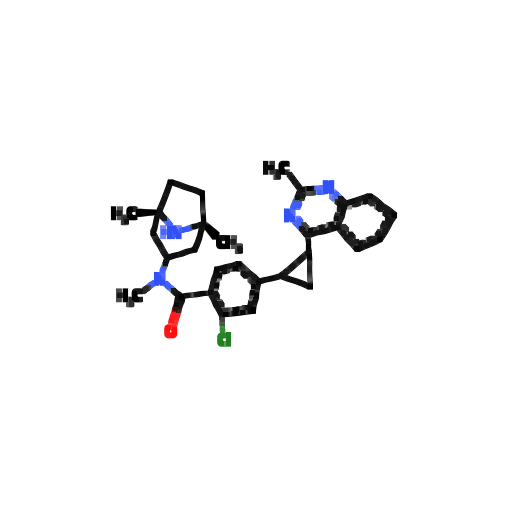 Cc1nc(C2CC2c2ccc(C(=O)N(C)C3C[C@]4(C)CC[C@](C)(C3)N4)c(Cl)c2)c2ccccc2n1